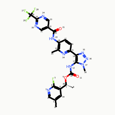 Cc1cnc(F)c([C@@H](C)OC(=O)Nc2c(-c3ccc(NC(=O)c4cnc(C(F)(F)F)nc4)c(C)n3)nnn2C)c1